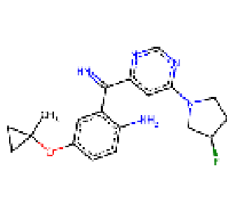 CC1(Oc2ccc(N)c(C(=N)c3cc(N4CC[C@@H](F)C4)ncn3)c2)CC1